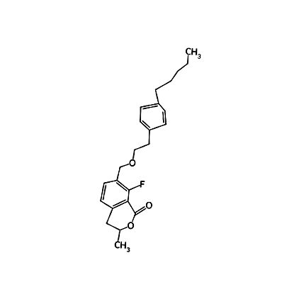 CCCCCc1ccc(CCOCc2ccc3c(c2F)C(=O)OC(C)C3)cc1